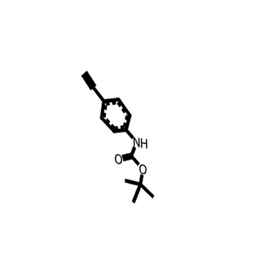 C#Cc1ccc(NC(=O)OC(C)(C)C)cc1